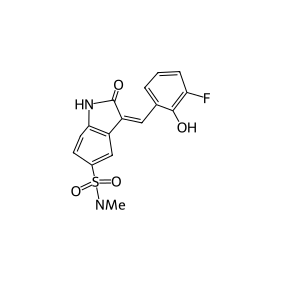 CNS(=O)(=O)c1ccc2c(c1)C(=Cc1cccc(F)c1O)C(=O)N2